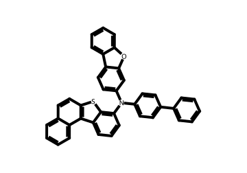 c1ccc(-c2ccc(N(c3ccc4c(c3)oc3ccccc34)c3cccc4c3sc3ccc5ccccc5c34)cc2)cc1